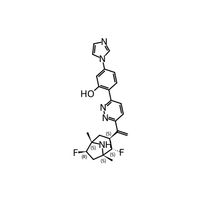 C=C(c1ccc(-c2ccc(-n3ccnc3)cc2O)nn1)[C@@H]1C[C@]2(C)N[C@@](C)(C[C@H]2F)[C@H]1F